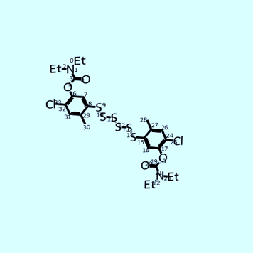 CCN(CC)C(=O)Oc1cc(SSSSSSc2cc(OC(=O)N(CC)CC)c(Cl)cc2C)c(C)cc1Cl